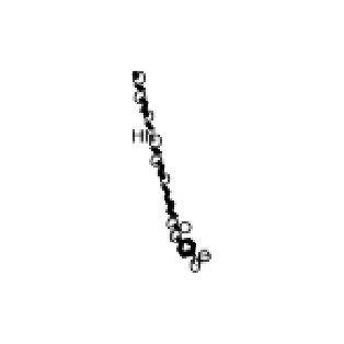 COCCOCCOCCNOCCOCCOCCCCCCOC(=O)Oc1ccc([N+](=O)[O-])cc1